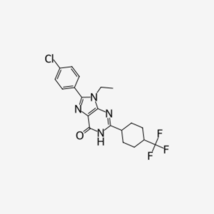 CCn1c(-c2ccc(Cl)cc2)nc2c(=O)[nH]c(C3CCC(C(F)(F)F)CC3)nc21